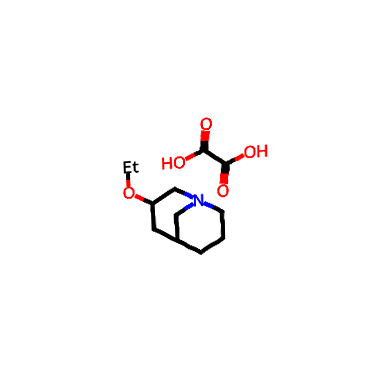 CCOC1CC2CCCN(C2)C1.O=C(O)C(=O)O